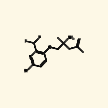 C=C(C)CC(C)(N)COc1ccc(Br)nc1C(F)F